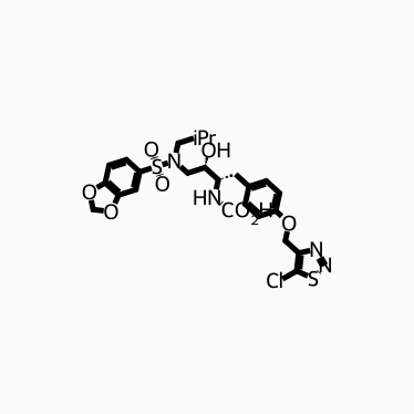 CC(C)CN(C[C@H](O)[C@H](Cc1ccc(OCc2nnsc2Cl)cc1)NC(=O)O)S(=O)(=O)c1ccc2c(c1)OCO2